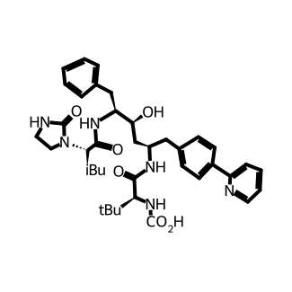 CC[C@H](C)[C@@H](C(=O)N[C@@H](Cc1ccccc1)[C@@H](O)C[C@@H](Cc1ccc(-c2ccccn2)cc1)NC(=O)[C@@H](NC(=O)O)C(C)(C)C)N1CCNC1=O